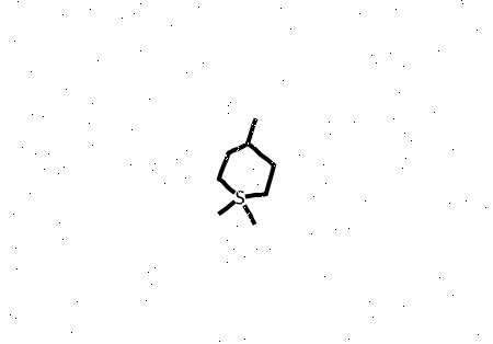 CC1CCS(C)(C)CC1